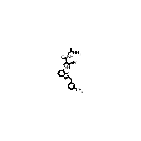 C=C(N)CNC(=O)c1cn(-c2cccc3cc(Cc4cccc(C(F)(F)F)c4)sc23)nc1C(C)C